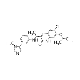 CC(C)Oc1cc2[nH]c(=O)c([C@H](C)Nc3cccc(-c4cncn4C)c3)cc2cc1Cl